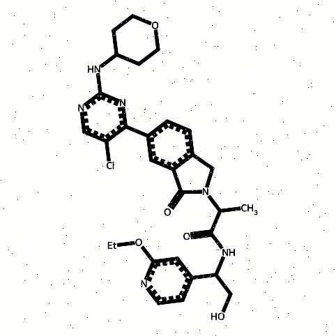 CCOc1cc(C(CO)NC(=O)C(C)N2Cc3ccc(-c4nc(NC5CCOCC5)ncc4Cl)cc3C2=O)ccn1